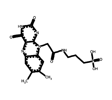 Cc1cc2nc3c(=O)[nH]c(=O)nc-3n(CC(=O)NCCCP(=O)(O)O)c2cc1C